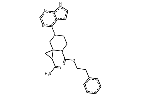 NC(=O)C1CC12CN(c1ncnc3[nH]ccc13)CCN2C(=O)OCCc1ccccc1